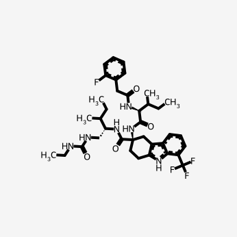 CCNC(=O)NC[C@@H](NC(=O)[C@@]1(NC(=O)[C@@H](NC(=O)Cc2ccccc2F)C(C)CC)CCc2[nH]c3c(C(F)(F)F)cccc3c2C1)C(C)CC